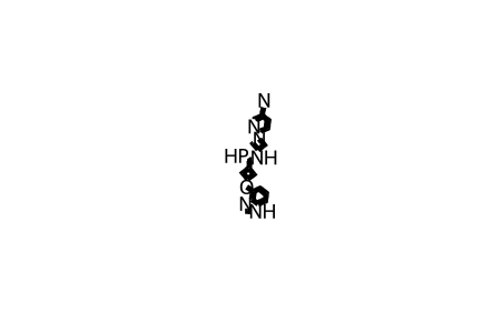 N#Cc1ccc(N2CC(NC(=P)C3CC(Oc4cccc5[nH]cnc45)C3)C2)nc1